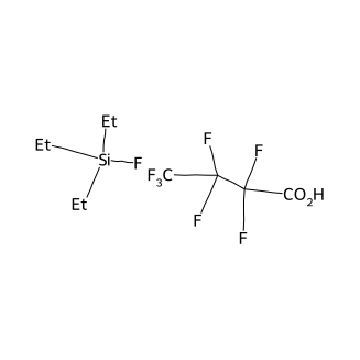 CC[Si](F)(CC)CC.O=C(O)C(F)(F)C(F)(F)C(F)(F)F